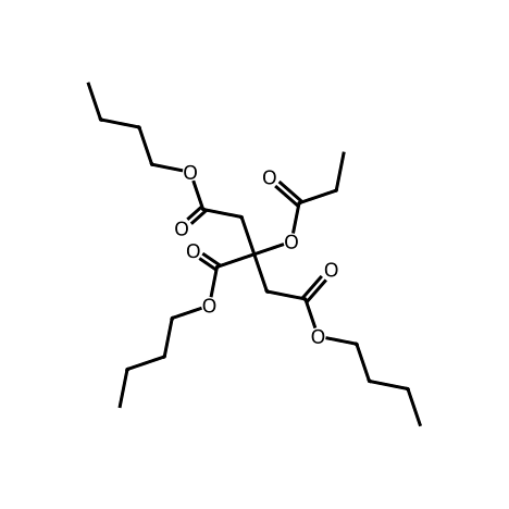 CCCCOC(=O)CC(CC(=O)OCCCC)(OC(=O)CC)C(=O)OCCCC